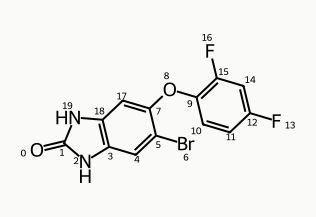 O=c1[nH]c2cc(Br)c(Oc3ccc(F)cc3F)cc2[nH]1